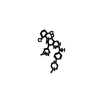 CN1CCN(c2ccc(Nc3ncc4c(=O)n(-c5c(Cl)cccc5Cl)nc(-c5cnn(C)c5)c4n3)cc2)CC1